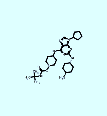 CC(C)(C)NC(=O)ON1CCC(Nc2nc(N[C@H]3CC[C@H](N)CC3)nc3c2ncn3C2CCCC2)CC1